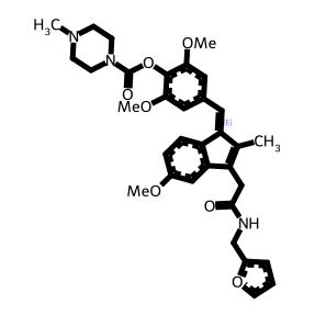 COc1ccc2c(c1)C(CC(=O)NCc1ccco1)=C(C)/C2=C/c1cc(OC)c(OC(=O)N2CCN(C)CC2)c(OC)c1